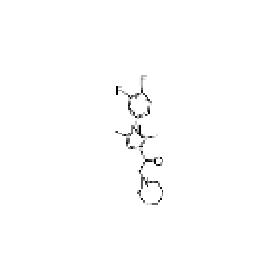 Cc1cc(C(=O)CN2CCCCC2)c(C)n1-c1ccc(F)c(F)c1